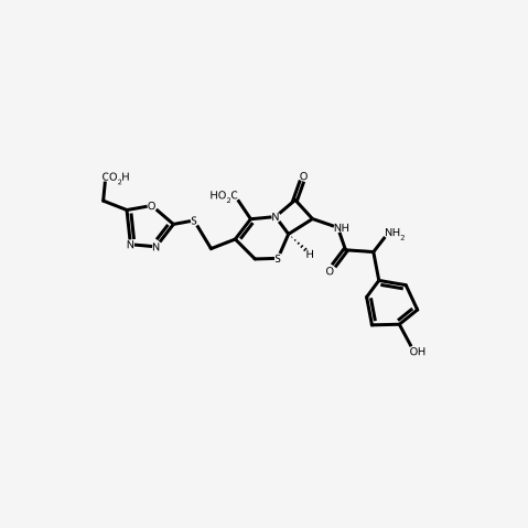 NC(C(=O)NC1C(=O)N2C(C(=O)O)=C(CSc3nnc(CC(=O)O)o3)CS[C@H]12)c1ccc(O)cc1